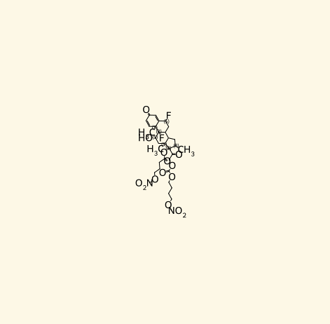 C[C@@H]1CC2C3C[C@H](F)C4=CC(=O)C=C[C@]4(C)[C@@]3(F)[C@@H](O)C[C@]2(C)[C@@]1(OC(=O)CCCO[N+](=O)[O-])C(=O)COC(=O)OCCCCO[N+](=O)[O-]